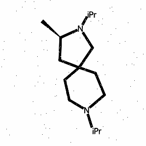 CC(C)N1CCC2(CC1)C[C@@H](C)N(C(C)C)C2